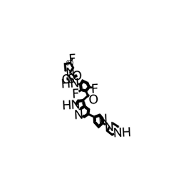 O=C(c1c(F)ccc(NS(=O)(=O)N2CC[C@@H](F)C2)c1F)c1c[nH]c2ncc(-c3ccc(N4CCNCC4)nc3)cc12